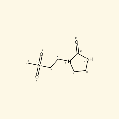 [CH2]S(=O)(=O)CCN1CCNC1=O